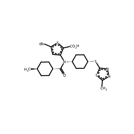 Cc1nnc(S[C@H]2CC[C@@H](N(c3cc(C(C)(C)C)sc3C(=O)O)C(=O)[C@H]3CC[C@H](C)CC3)CC2)s1